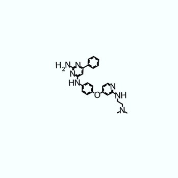 CN(C)CCNc1cc(Oc2ccc(Nc3cc(-c4ccccc4)nc(N)n3)cc2)ccn1